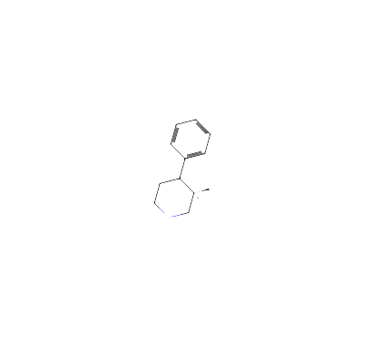 C[C@H]1CNCCC1c1ccccc1